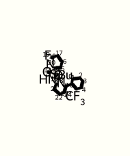 CC(C)(C)c1ccccc1-c1nc(NS(=O)(=O)c2cccc(F)n2)ccc1C(F)(F)F